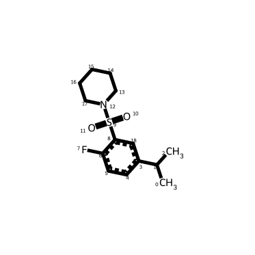 CC(C)c1ccc(F)c(S(=O)(=O)N2CCCCC2)c1